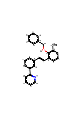 CC(C)(C)c1cccc(C=Cc2cccc(-c3ccccn3)c2)c1OCc1ccccc1